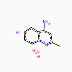 Cc1cc(N)c2ccccc2n1.I.I.O